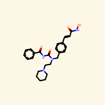 O=C(/C=C/c1ccc(CN(CCN2CCCCC2)C(=O)NC(=O)c2ccccc2)cc1)NO